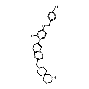 O=c1cc(OCc2ccc(Cl)cn2)ccn1C1=Cc2ccc(CN3CCC4(CCCNC4)CC3)cc2CC1